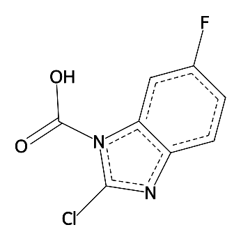 O=C(O)n1c(Cl)nc2ccc(F)cc21